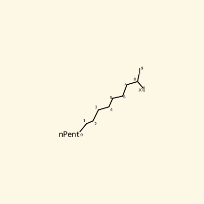 CCCCCCCCCCCCC(I)I